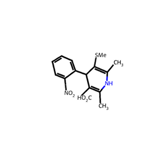 CSC1=C(C)NC(C)=C(C(=O)O)C1c1ccccc1[N+](=O)[O-]